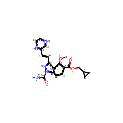 COc1c(C(=O)OCC2CC2)ccc2c1c(C=Cc1cnccn1)nn2C(N)=O